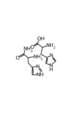 NC(=O)C(N)Cc1c[nH]cn1.NC(Cc1c[nH]cn1)C(=O)O